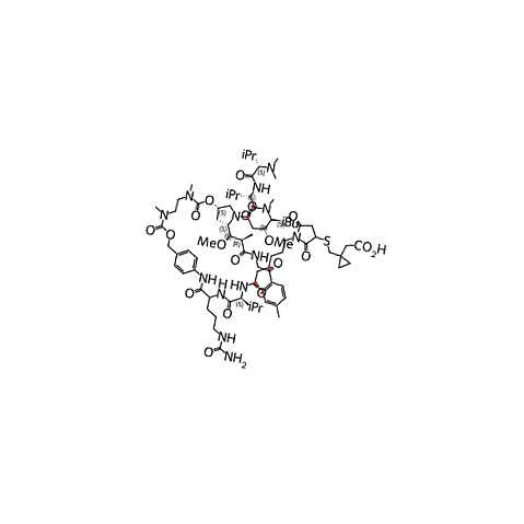 CC[C@H](C)C([C@@H](CC(=O)N1C[C@@H](OC(=O)N(C)CCN(C)C(=O)OCc2ccc(NC(=O)C(CCCNC(N)=O)NC(=O)[C@@H](NC(=O)CCCCCN3C(=O)CC(SCC4(CC(=O)O)CC4)C3=O)C(C)C)cc2)C[C@H]1[C@H](OC)[C@@H](C)C(=O)NCC(=O)c1ccc(C)cc1C)OC)N(C)C(=O)[C@@H](NC(=O)[C@H](C(C)C)N(C)C)C(C)C